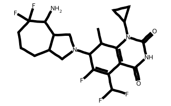 CC1c2c(c(=O)[nH]c(=O)n2C2CC2)C(C(F)F)=C(F)C1N1CC2CCCC(F)(F)C(N)C2C1